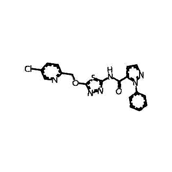 O=C(Nc1nnc(OCc2ccc(Cl)cn2)s1)c1ccnn1-c1ccccc1